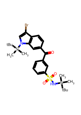 CC(C)(C)[Si](C)(C)NS(=O)(=O)c1cccc(C(=O)c2ccc3c(Br)cn([Si](C)(C)C(C)(C)C)c3c2)c1